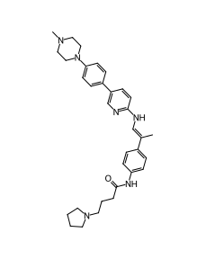 C/C(=C\Nc1ccc(-c2ccc(N3CCN(C)CC3)cc2)cn1)c1ccc(NC(=O)CCCN2CCCC2)cc1